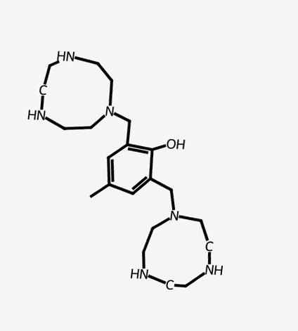 Cc1cc(CN2CCNCCNCC2)c(O)c(CN2CCNCCNCC2)c1